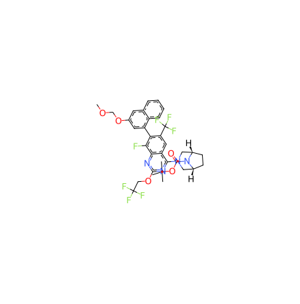 COCOc1cc(-c2c(C(F)(F)F)cc3c(N4C[C@H]5CC[C@@H](C4)N5C(=O)OC(C)(C)C)nc(OCC(F)(F)F)nc3c2F)c2ccccc2c1